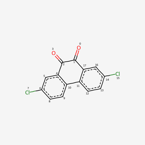 O=C1C(=O)c2cc(Cl)ccc2-c2ccc(Cl)cc21